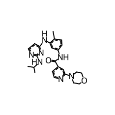 Cc1ccc(NC(=O)c2ccnc(N3CCOCC3)c2)cc1Nc1ccnc(NC(C)C)n1